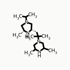 CC1CN(C(C)(C)C[C@H]2CN(C(C)C)C[C@@H](C)N2)CC(C)N1